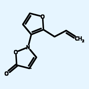 C=CCc1occc1-n1c[c]c(=O)o1